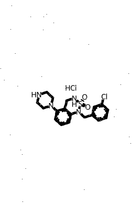 Cl.O=S1(=O)NCc2c(N3CCNCC3)cccc2N1Cc1cccc(Cl)c1